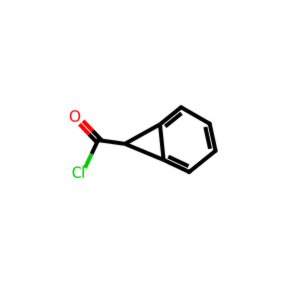 O=C(Cl)C1c2ccccc21